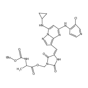 CC(NC(=O)OC(C)(C)C)C(=O)OCN1C(=O)NC(=Cc2cnn3c(NC4CC4)cc(Nc4ccncc4Cl)nc23)C1=O